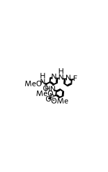 CONC(=O)c1cnc(Nc2cccc(F)n2)cc1Nc1ccccc1P(=O)(OC)OC